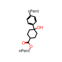 CCCCCOC(=O)C1CCC(O)(c2ccc(CCCCC)cc2)CC1